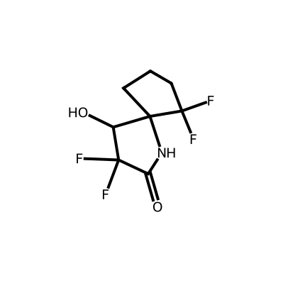 O=C1NC2(CCCC2(F)F)C(O)C1(F)F